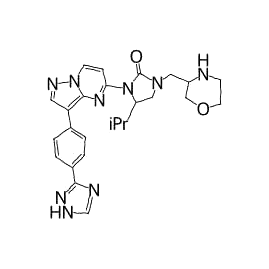 CC(C)C1CN(CC2COCCN2)C(=O)N1c1ccn2ncc(-c3ccc(-c4nc[nH]n4)cc3)c2n1